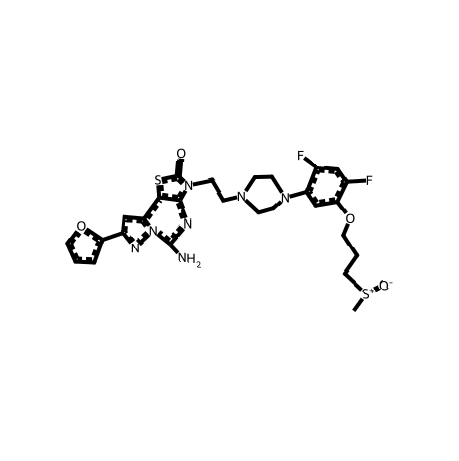 C[S+]([O-])CCCOc1cc(N2CCN(CCn3c(=O)sc4c3nc(N)n3nc(-c5ccco5)cc43)CC2)c(F)cc1F